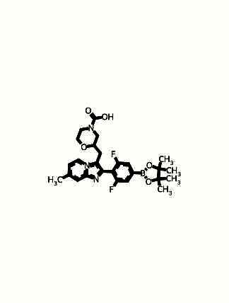 Cc1ccn2c(CC3CN(C(=O)O)CCO3)c(-c3c(F)cc(B4OC(C)(C)C(C)(C)O4)cc3F)nc2c1